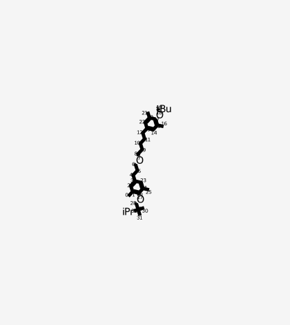 Cc1cc(CCCOCCCCCc2cc(C)c(OC(C)(C)C)c(C)c2)cc(C)c1OCC(C)(C)C(C)C